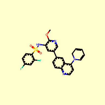 COc1ncc(-c2ccc3nccc(N4C=CC=CC4)c3c2)cc1NS(=O)(=O)c1ccc(F)cc1F